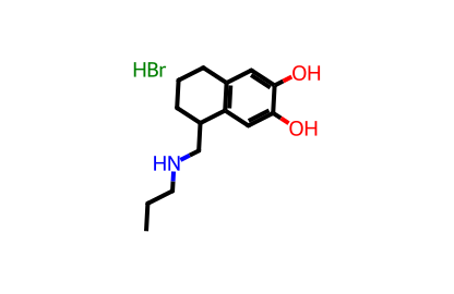 Br.CCCNCC1CCCc2cc(O)c(O)cc21